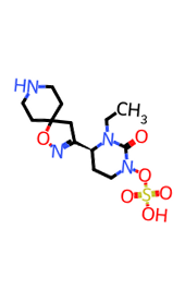 CCN1C(=O)N(OS(=O)(=O)O)CC[C@H]1C1=NOC2(CCNCC2)C1